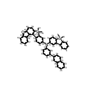 C[Si]1(C)c2ccccc2-c2cc(N(c3cccc(-c4ccc5ccccc5c4)c3)c3ccc4c(c3)[Si](C)(C)c3ccc5oc6ccccc6c5c3-4)ccc21